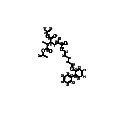 CC(C)OC(=O)C(C)C(CC(C)C(=O)OCCCCCOc1ccccc1-c1ccccc1)C(=O)OC(C)C